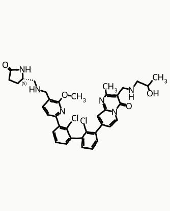 COc1nc(-c2cccc(-c3cccc(-c4ccn5c(=O)c(CNCC(C)O)c(C)nc5c4)c3Cl)c2Cl)ccc1CNC[C@@H]1CCC(=O)N1